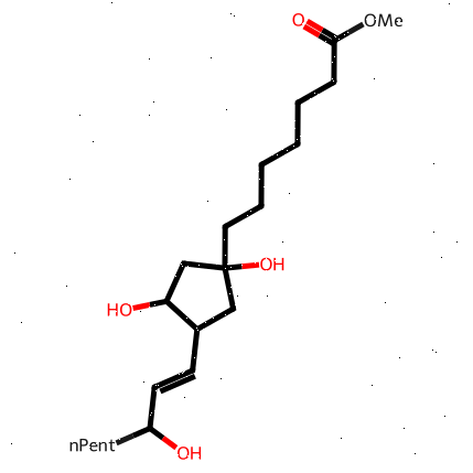 CCCCCC(O)C=CC1CC(O)(CCCCCCC(=O)OC)CC1O